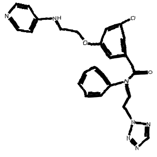 O=C(c1cc(Cl)cc(OCCNc2ccncc2)c1)N(CCn1ncnn1)c1ccccc1